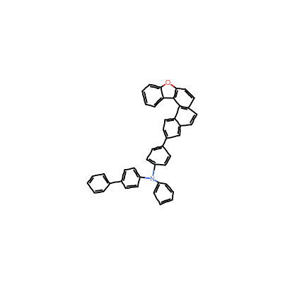 c1ccc(-c2ccc(N(c3ccccc3)c3ccc(-c4ccc5c(ccc6ccc7oc8ccccc8c7c65)c4)cc3)cc2)cc1